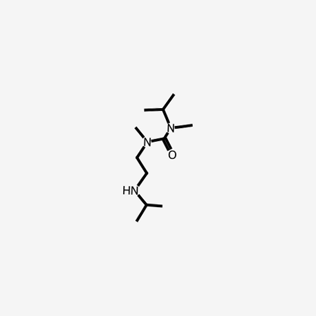 CC(C)NCCN(C)C(=O)N(C)C(C)C